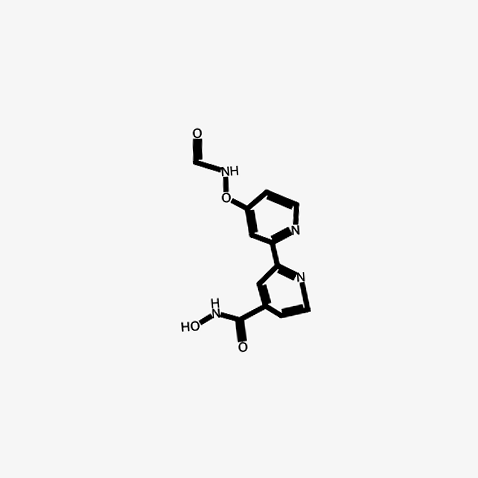 O=CNOc1ccnc(-c2cc(C(=O)NO)ccn2)c1